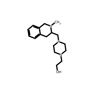 CN1Cc2ccccc2CC1CN1CCN(CCO)CC1